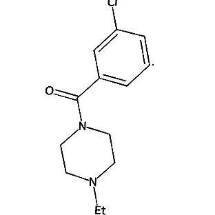 CCN1CCN(C(=O)c2c[c]cc(Cl)c2)CC1